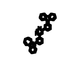 C1=Cc2c3c(n(-c4cccc(-c5cc(-c6cccc(-n7c8c(c9ccccc97)CCC=C8)c6)ncn5)c4)c2C=CC1)C=CCC3